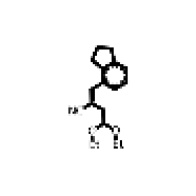 CCOC(CC(C#N)=Cc1cccc2c1CCC2)OCC